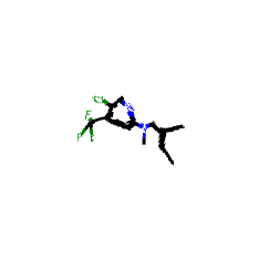 CCC(C)CN(C)c1cc(C(F)(F)F)c(Cl)cn1